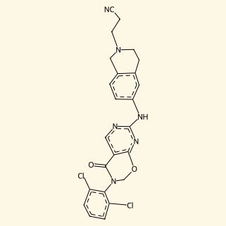 N#CCCN1CCc2cc(Nc3ncc4c(n3)OCN(c3c(Cl)cccc3Cl)C4=O)ccc2C1